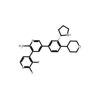 Nc1ncc(-c2ccc(C3CCOCC3)c([C@@H]3CCCN3)c2)cc1-c1ccnc(F)c1F